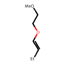 [CH2]OCCOC=CCC